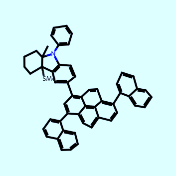 CSC12CCCCC1(C)N(c1ccccc1)c1ccc(-c3cc(-c4cccc5ccccc45)c4ccc5ccc(-c6cccc7ccccc67)c6ccc3c4c56)cc12